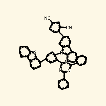 N#Cc1ccc(-c2ccc3c4ccccc4n(-c4ccc(-c5cccc6c5sc5ccccc56)cc4-c4nc(-c5ccccc5)nc(-c5ccccc5)n4)c3c2)c(C#N)c1